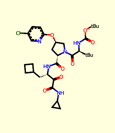 CC(C)(C)OC(=O)N[C@H](C(=O)N1C[C@H](Oc2ccc(Cl)cn2)C[C@H]1C(=O)N[C@@H](CC1CCC1)C(=O)C(=O)NC1CC1)C(C)(C)C